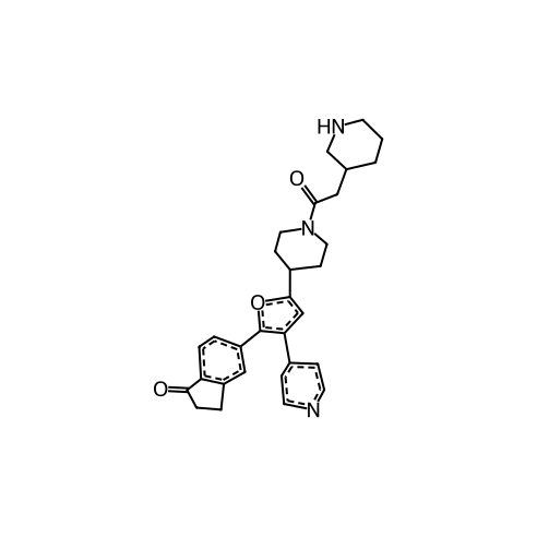 O=C1CCc2cc(-c3oc(C4CCN(C(=O)CC5CCCNC5)CC4)cc3-c3ccncc3)ccc21